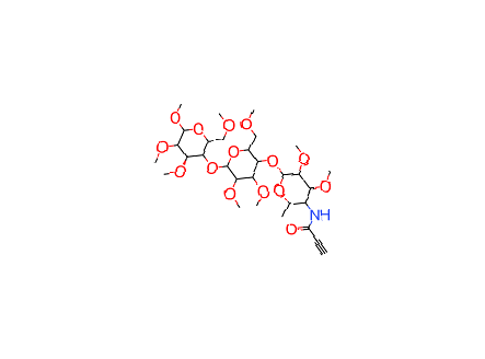 C#CC(=O)NC1C(C)OC(OC2C(COC)OC(OC3C(COC)OC(OC)C(OC)[C@@H]3OC)C(OC)C2OC)C(OC)C1OC